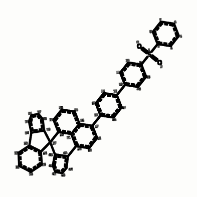 O=S(=O)(c1ccccc1)c1ccc(-c2ccc(-c3ccc4c5c(cccc35)C3(c5ccccc5-c5ccccc53)c3ccccc3-4)cc2)cc1